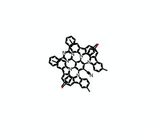 Cc1ccc2c(c1)c1cc(C)ccc1n2-c1c(C#N)c(-n2c3ccc(C)cc3c3cc(C)ccc32)c(-n2c3ccc(C)cc3c3cc(C)ccc32)c(-c2nc(-c3ccccc3)nc(-c3ccccc3)n2)c1-n1c2ccc(C)cc2c2cc(C)ccc21